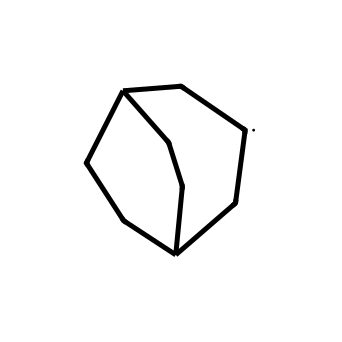 [CH]1CC2CCC(C1)CC2